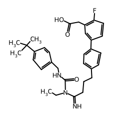 CCN(C(=N)CCCc1ccc(-c2ccc(F)c(CC(=O)O)c2)cc1)C(=O)NCc1ccc(C(C)(C)C)cc1